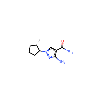 C[C@H]1CCCC1n1cc(C(N)=O)c(N)n1